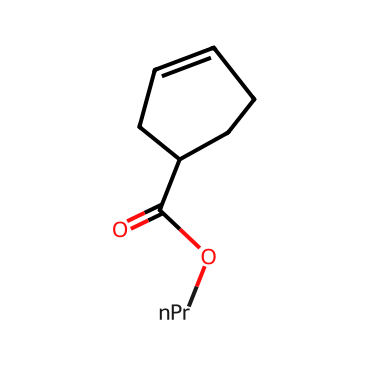 CCCOC(=O)C1CC=CCC1